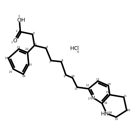 Cl.O=C(O)CC(CCCCCCc1ccc2c(n1)NCCC2)c1ccccc1